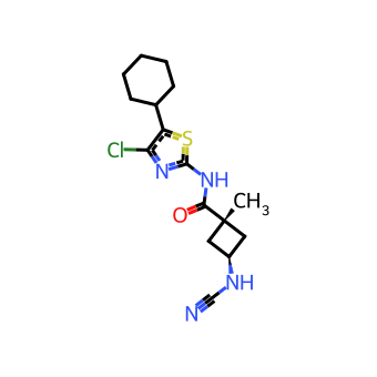 C[C@]1(C(=O)Nc2nc(Cl)c(C3CCCCC3)s2)C[C@H](NC#N)C1